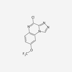 FC(F)(F)Oc1ccc2nc(Cl)c3nncn3c2c1